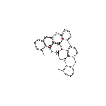 Cc1cccc(C)c1P(CN(CP(c1c(C)cccc1C)c1c(C)cccc1C)CP(c1c(C)cccc1C)c1c(C)cccc1C)c1c(C)cccc1C